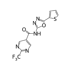 O=C(Nc1nnc(-c2cccs2)o1)c1cnc(C(F)(F)F)nc1